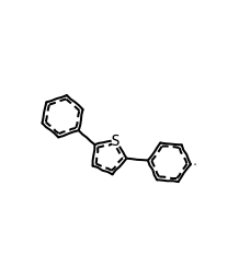 [c]1ccc(-c2ccc(-c3ccccc3)s2)cc1